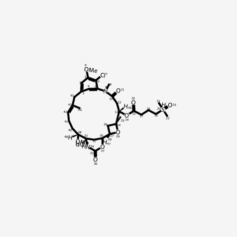 COc1cc2cc(c1Cl)N(C)C(=O)C[C@H](OC(=O)CCC[SH](C)(C)=O)[C@@]1(C)CC(C)(O1)[C@@H]1C[C@@](O)(NC(=O)O1)[C@H](OC)CC/C=C(\C)C2